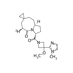 [2H][C@H]1CC2(CC[C@H]3CC[C@@H](C(=O)N4CC(OC)(c5nccn5C)C4)N3C1=O)CC2